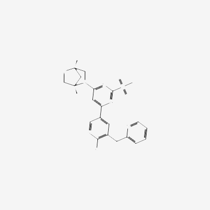 CS(=O)(=O)c1nc(-c2cnc(N)c(Cc3ccccn3)c2)cc(N2C[C@@H]3C[C@H]2CO3)n1